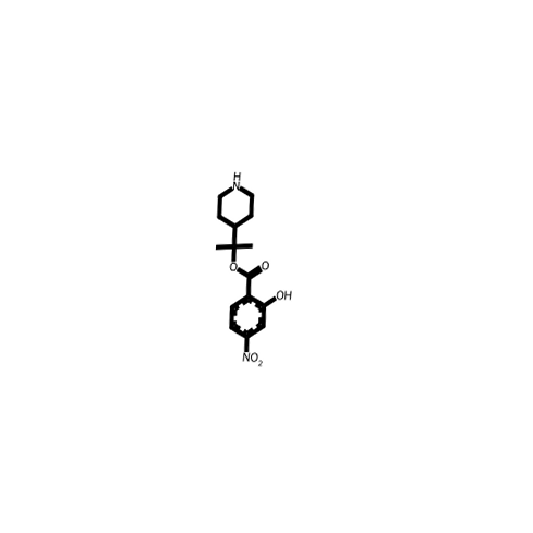 CC(C)(OC(=O)c1ccc([N+](=O)[O-])cc1O)C1CCNCC1